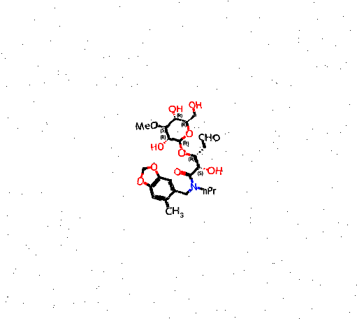 CCCN(Cc1cc2c(cc1C)OCO2)C(=O)[C@@H](O)[C@@H](CC=O)O[C@@H]1O[C@H](CO)[C@@H](O)[C@H](OC)[C@H]1O